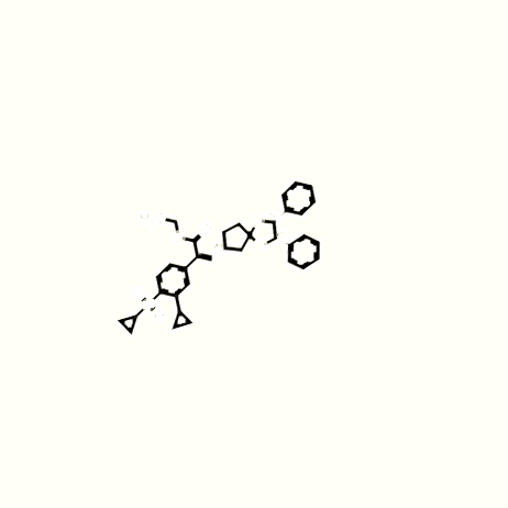 CCOC(=O)C(=C[C@@H]1CCC2(C1)O[C@@H](c1ccccc1)[C@H](c1ccccc1)O2)c1ccc(S(=O)(=O)C2CC2)c(C2CC2)c1